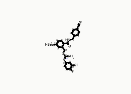 Br.N#Cc1ccc(CNC(=O)c2ccc(Br)cc2CS/C(N)=N/c2ccc(F)c(Cl)c2)cc1